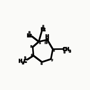 CCC1(CC)CC(C)CCC(C)N1